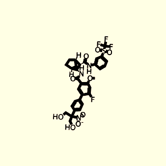 COc1cc(F)c(-c2ccc(C(CO)(CO)[N+](=O)[O-])cc2)cc1C(=O)N[C@@H]1[C@H]2CC[C@H](C2)[C@@H]1C(=O)Nc1cccc(S(=O)(=O)C(F)(F)F)c1